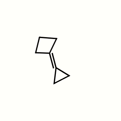 C1CC(=C2CC2)C1